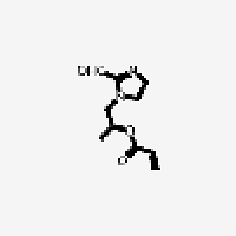 C=CC(=O)OC(C)CN1CCN=C1C=O